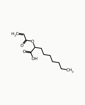 C=CC(=O)OC(CCCCCCC)C(=O)O